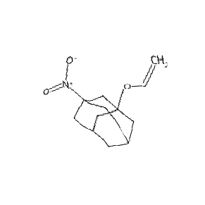 C=COC12CC3CC(C1)CC([N+](=O)[O-])(C3)C2